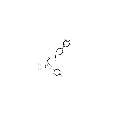 CC1CC=C(B2OC(CC(C)(C)OC(=O)N3CCC(c4ccc(N)c(Br)c4)CC3)C(C)(C)O2)CC1